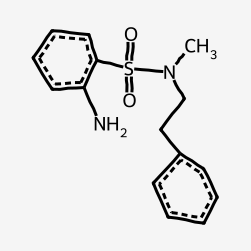 CN(CCc1ccccc1)S(=O)(=O)c1ccccc1N